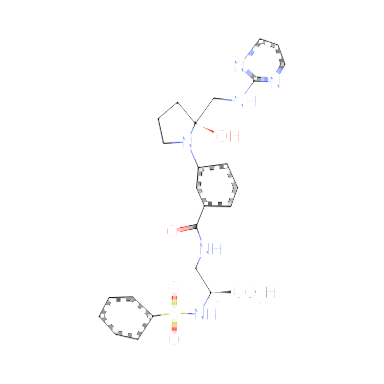 O=C(NC[C@H](NS(=O)(=O)c1ccccc1)C(=O)O)c1cccc(N2CCC[C@]2(O)CNc2ncccn2)c1